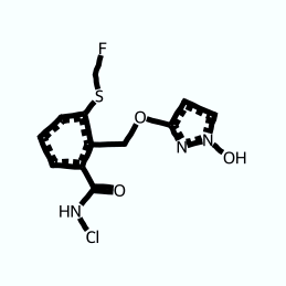 O=C(NCl)c1cccc(SCF)c1COc1ccn(O)n1